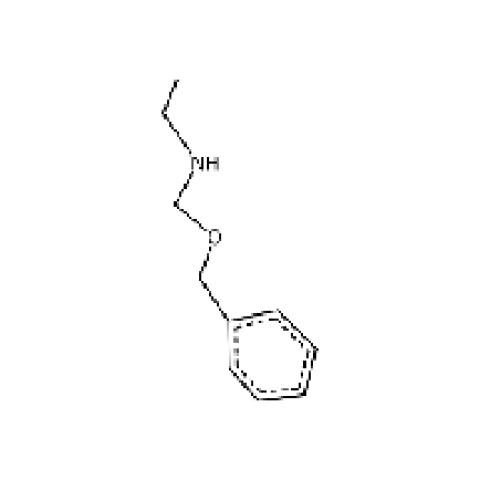 CCNCOCc1ccccc1